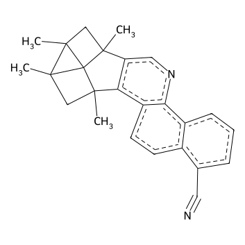 CC12CC3(C)C4(C)CC(C)(c5c1cnc1c5ccc5c(C#N)cccc51)C234